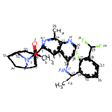 CC(=O)N1C2C=C(c3cc4c(N[C@H](C)c5cccc(C(F)F)c5F)ccnc4c(C)n3)CC1CC2